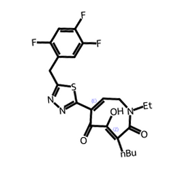 CCCC/C1=C(/O)C(=O)/C(c2nnc(Cc3cc(F)c(F)cc3F)s2)=C\CN(CC)C1=O